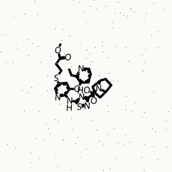 CCc1ncccc1Oc1cc(SCCC(=O)OC)cnc1Nc1nc(C2CC3CCC(C2)N3C(=O)O)ns1